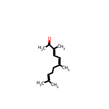 CC(=O)C(C)=CC=C(C)CCC=C(C)C